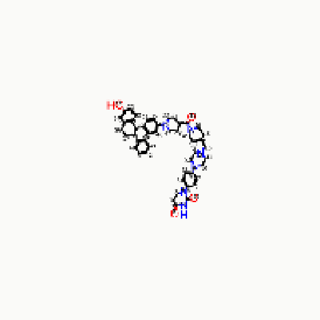 O=C1CCN(c2ccc(N3CCN(CC4CCN(C(=O)C5CCN(c6ccc([C@@H]7c8ccc(O)cc8CC[C@@H]7c7ccccc7)cc6)CC5)CC4)CC3)cc2)C(=O)N1